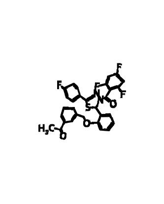 CC(=O)c1cccc(COc2ccccc2C2SC(c3ccc(F)cc3)=NN2C(=O)c2c(F)cc(F)cc2F)c1